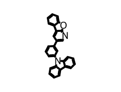 c1cc(-c2cnc3oc4ccccc4c3c2)cc(-n2c3ccccc3c3ccccc32)c1